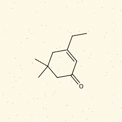 CCC1=CC(=O)CC(C)(C)C1